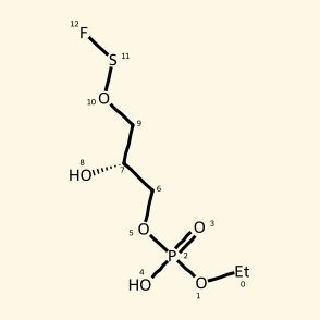 CCOP(=O)(O)OC[C@H](O)COSF